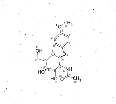 COc1ccc(O[C@@H]2OC(CO)[C@H](O)C(O)C2NC(C)=O)cc1